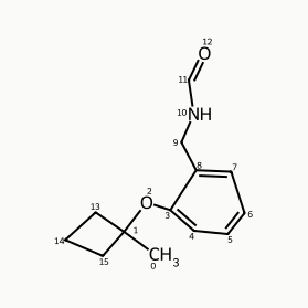 CC1(Oc2ccccc2CNC=O)CCC1